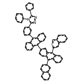 c1ccc(-c2nnc(-c3cccc(-c4c5ccccc5c(-c5ccc6c(-c7ccc8ccccc8c7)c7ccccc7c(-c7ccc8ccccc8c7)c6c5)c5ccccc45)c3)n2-c2ccccc2)cc1